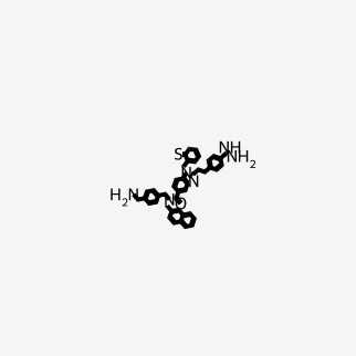 N=C(N)c1ccc(CCc2nc3cc(C(=O)N(Cc4ccc(CN)cc4)Cc4ccc5ccccc5c4)ccc3n2CC2=CC=CCC2=S)cc1